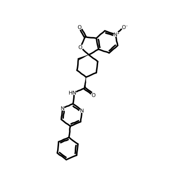 O=C1O[C@]2(CC[C@H](C(=O)Nc3ncc(-c4ccccc4)cn3)CC2)c2cc[n+]([O-])cc21